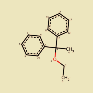 [CH2]COC(C)(c1ccccc1)c1ccccc1